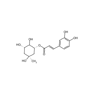 C[C@]1(O)C[C@H](O)C(O)[C@H](OC(=O)/C=C/c2ccc(O)c(O)c2)C1